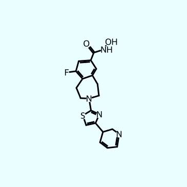 O=C(NO)c1cc(F)c2c(c1)CCN(c1nc(C3C=CC=NC3)cs1)CC2